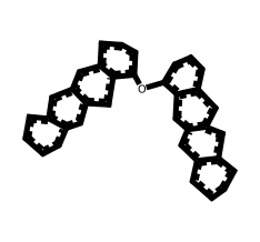 c1ccc2cc3cc4c(Oc5cccc6cc7cc8ccccc8cc7cc56)cccc4cc3cc2c1